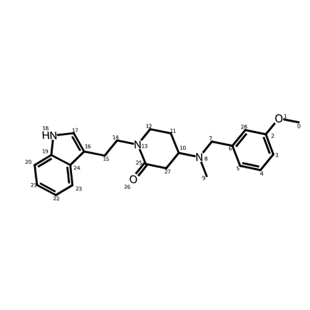 COc1cccc(CN(C)C2CCN(CCc3c[nH]c4ccccc34)C(=O)C2)c1